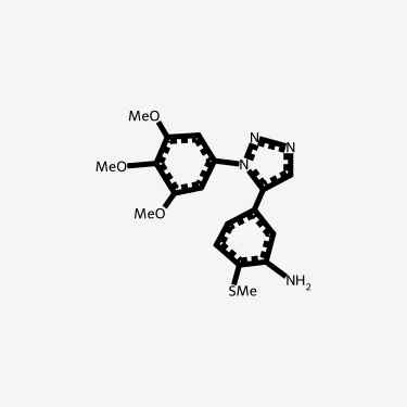 COc1cc(-n2nncc2-c2ccc(SC)c(N)c2)cc(OC)c1OC